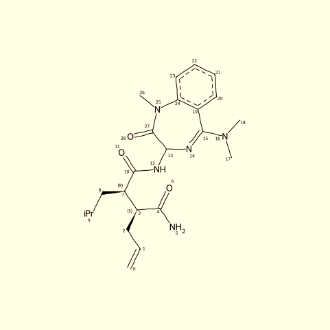 C=CC[C@H](C(N)=O)[C@@H](CC(C)C)C(=O)NC1N=C(N(C)C)c2ccccc2N(C)C1=O